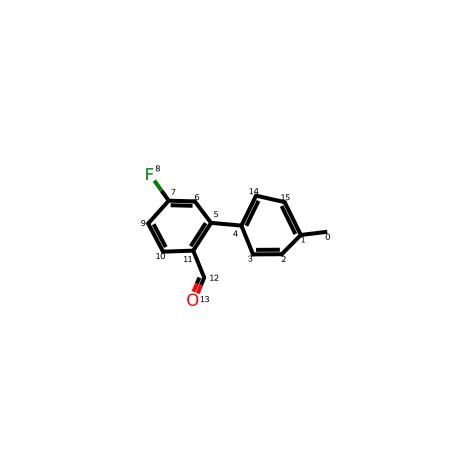 Cc1ccc(-c2cc(F)ccc2C=O)cc1